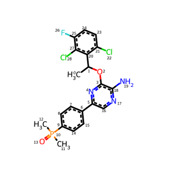 CC(Oc1nc(-c2ccc(P(C)(C)=O)cc2)cnc1N)c1c(Cl)ccc(F)c1Cl